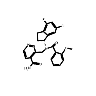 COc1ccccc1C(=O)N(Cc1nnccc1C(N)=O)[C@@H]1CCc2c(F)cc(Cl)cc21